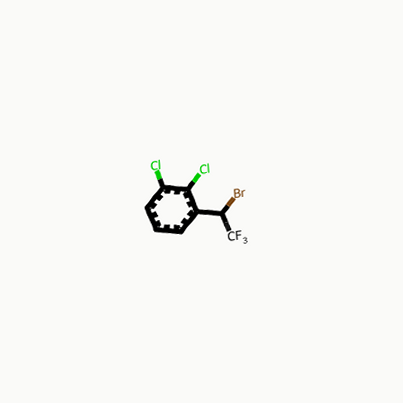 FC(F)(F)C(Br)c1cccc(Cl)c1Cl